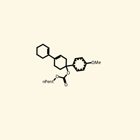 CCCCCOC(=O)OC1(c2ccc(OC)cc2)CC=C(C2=CCCCC2)CC1